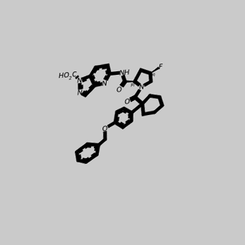 O=C(Nc1ccc2c(cnn2C(=O)O)n1)[C@H]1C[C@@H](F)CN1C(=O)C1(c2ccc(OCc3ccccc3)cc2)CCCCC1